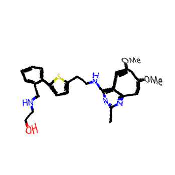 COc1cc2nc(C)nc(NCCc3ccc(-c4ccccc4CNCCO)s3)c2cc1OC